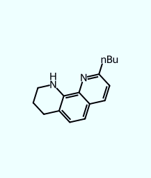 CCCCc1ccc2ccc3c(c2n1)NCCC3